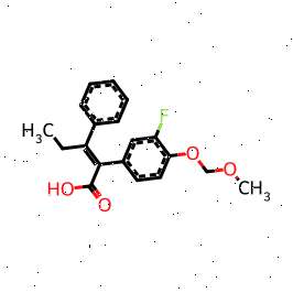 CCC(=C(C(=O)O)c1ccc(OCOC)c(F)c1)c1ccccc1